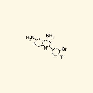 Nc1cc2c(N)nc(-c3ccc(F)c(Br)c3)nc2cn1